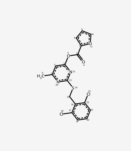 Cc1cc(OC(=O)c2ccco2)nc(SCc2c(Cl)cccc2Cl)n1